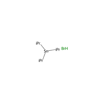 Br.C[CH](C)[Sn]([CH](C)C)[CH](C)C